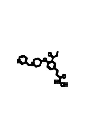 CCC(=O)c1cc(/C=C/C(=O)NO)ccc1OC1CCN(Cc2cccnc2)CC1